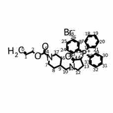 C=CCOC(=O)N1CCC(CN2CCC([P+](c3ccccc3)(c3ccccc3)c3ccccc3)C2=O)CC1.[Br-]